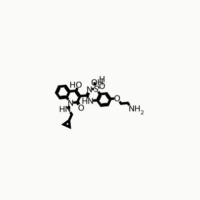 NCCOc1ccc2c(c1)S(O)(O)N=C(c1c(O)c3ccccc3n(NCC3CC3)c1=O)N2